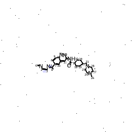 C=N/C=C\N=C(/C)c1ccc2nnc(NC(=O)[C@H]3CC[C@H](CN4CCN(C)CC4)CC3)cc2c1